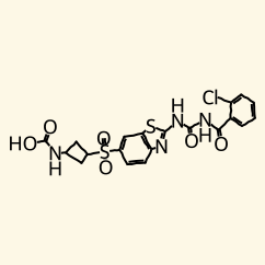 O=C(O)NC1CC(S(=O)(=O)c2ccc3nc(NC(=O)NC(=O)c4ccccc4Cl)sc3c2)C1